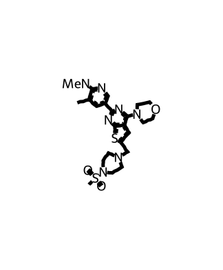 CNc1ncc(-c2nc(N3CCOCC3)c3cc(CN4CCN(S(C)(=O)=O)CC4)sc3n2)cc1C